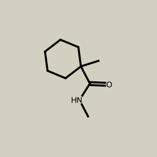 CNC(=O)C1(C)CCCCC1